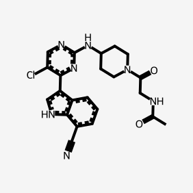 CC(=O)NCC(=O)N1CCC(Nc2ncc(Cl)c(-c3c[nH]c4c(C#N)cccc34)n2)CC1